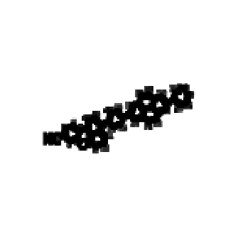 N#Cc1ccc2c(c1)Oc1cccc3c(-c4ccc(-c5cc6ccc7cc(-c8cccnc8)cc8ccc(c5)c6c78)cc4)ccc-2c13